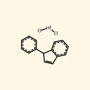 C1=Cc2ccccc2[C]1c1ccccc1.[Cl][Hf][Cl]